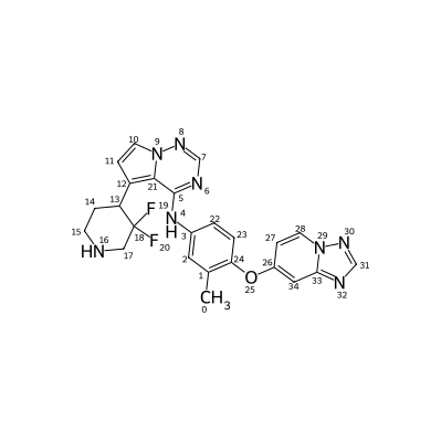 Cc1cc(Nc2ncnn3ccc(C4CCNCC4(F)F)c23)ccc1Oc1ccn2ncnc2c1